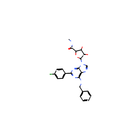 CNC(=O)C1OC(n2cnc3c(NCc4ccccc4)nc(-c4ccc(Cl)cc4)nc32)C(O)C1O